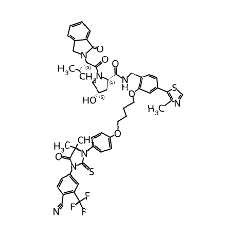 Cc1ncsc1-c1ccc(CNC(=O)[C@@H]2C[C@H](O)CN2C(=O)[C@H](C(C)C)N2Cc3ccccc3C2=O)c(OCCCCOc2ccc(N3C(=S)N(c4ccc(C#N)c(C(F)(F)F)c4)C(=O)C3(C)C)cc2)c1